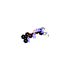 CC(C)Nc1nc(C(F)(F)F)ccc1C=CC(=O)NCc1ccc(NC(c2ccccc2)(c2ccccc2)c2ccccc2)cc1